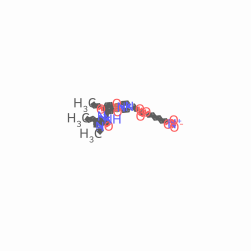 CCCOc1ccc(S(=O)(=O)N2CCN(CCOC(=O)OCCCCCCO[N+](=O)[O-])CC2)cc1-c1nc2c(CCC)cn(CC)c2c(=O)[nH]1